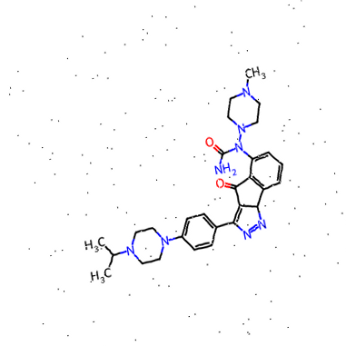 CC(C)N1CCN(c2ccc(C3=C4C(=O)c5c(cccc5N(C(N)=O)N5CCN(C)CC5)C4N=N3)cc2)CC1